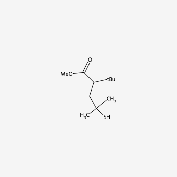 COC(=O)C(CC(C)(C)S)C(C)(C)C